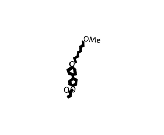 C=CC(=O)Oc1ccc(-c2ccc(OCCCCCCCCOC)cc2)cc1